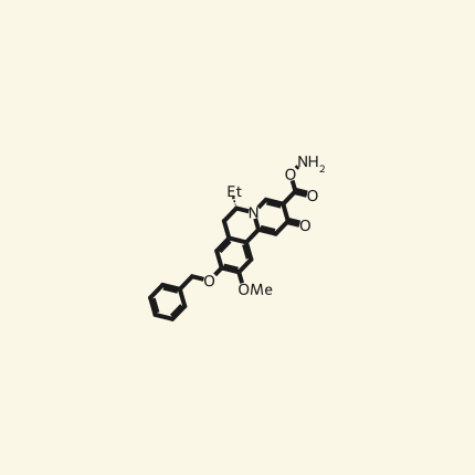 CC[C@H]1Cc2cc(OCc3ccccc3)c(OC)cc2-c2cc(=O)c(C(=O)ON)cn21